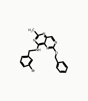 Cc1nc(NCc2cccc(Br)c2)c2nc(OCc3ccccc3)ncc2n1